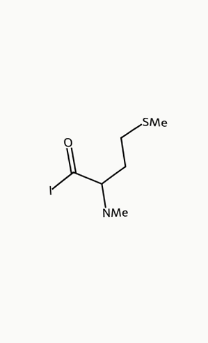 CNC(CCSC)C(=O)I